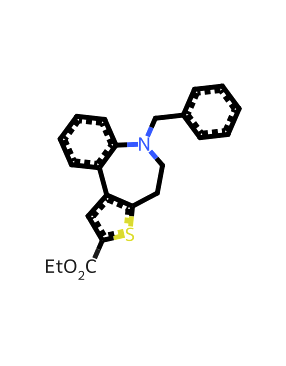 CCOC(=O)c1cc2c(s1)CCN(Cc1ccccc1)c1ccccc1-2